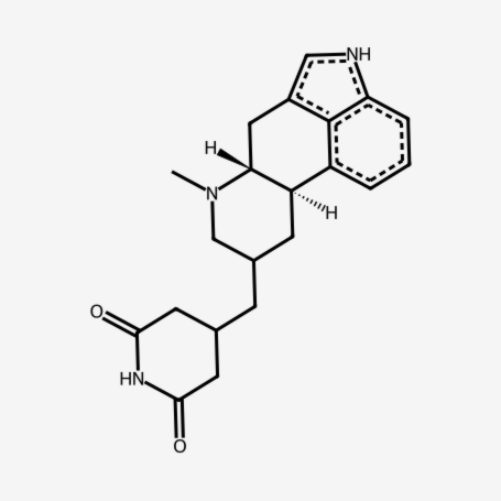 CN1CC(CC2CC(=O)NC(=O)C2)C[C@@H]2c3cccc4[nH]cc(c34)C[C@H]21